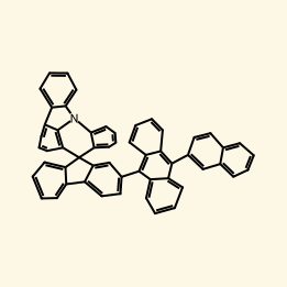 c1ccc2c(c1)-c1ccc(-c3c4ccccc4c(-c4ccc5ccccc5c4)c4ccccc34)cc1C21c2ccccc2-n2c3ccccc3c3cccc1c32